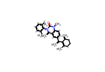 C=C1CCCC(C)=C1C(=C)c1ccc2c(c1)C(=C)N(c1c(C)cccc1C)C(=O)N2C